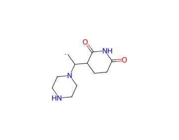 [CH2]C(C1CCC(=O)NC1=O)N1CCNCC1